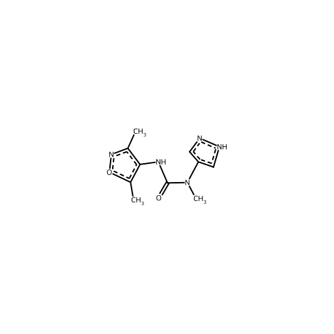 Cc1noc(C)c1NC(=O)N(C)c1cn[nH]c1